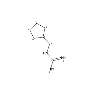 CC(C)C(=N)NCC1CCCC1